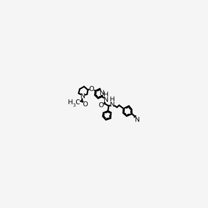 CC(=O)N1CCCC(Oc2ccc(NC(=O)C(NCCc3ccc(C#N)cc3)c3ccccc3)nc2)C1